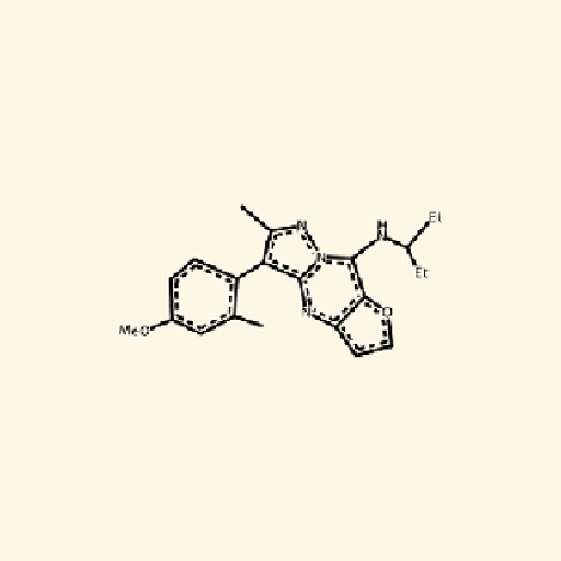 CCC(CC)Nc1c2occc2nc2c(-c3ccc(OC)cc3C)c(C)nn12